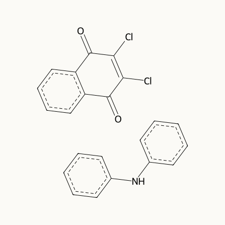 O=C1C(Cl)=C(Cl)C(=O)c2ccccc21.c1ccc(Nc2ccccc2)cc1